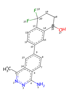 Cc1nnc(N)c2ccc(-c3ccc4c(c3)B(O)CCC4(F)F)cc12